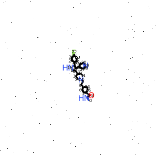 CNC(=O)c1ccc(CCN2CC=C(c3c[nH]c(-c4ccc(F)cc4)c3-c3ccncc3)CC2)cc1